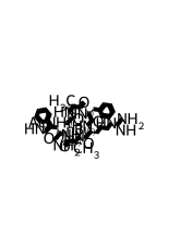 CCCC[C@H](NC(C)=O)C(=O)N[C@@H](C)C(=O)N[C@H](Cc1ccccc1)C(=O)N[C@@H](CCCNC(=N)N)C(=O)N[C@@H](C)C(=O)N[C@@H](Cc1c[nH]c2ccccc12)C(N)=O